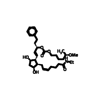 CCNC(=O)CCC/C=C\C[C@@H]1[C@@H](/C=C/[C@H](CCc2ccccc2)OC(=O)OCCCC[C@@H](C)OC)[C@H](O)C[C@@H]1O